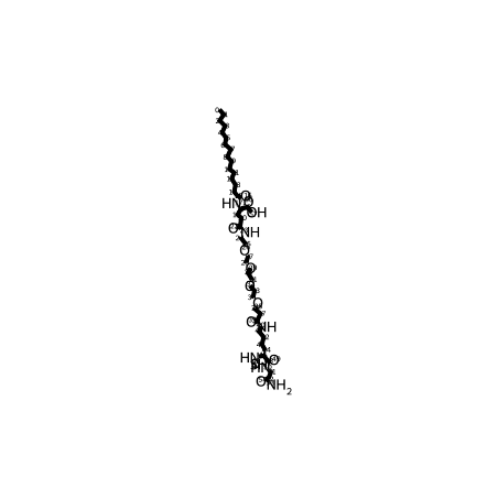 CCCCCCCCCCCCCCCC(=O)NC(CCC(=O)NCCOCCOCCOCCOCCC(=O)NCCCC[C@H](NS)C(=O)NCC(N)=O)C(=O)O